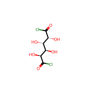 O=C(Cl)[C@@H](O)[C@H](O)[C@H](O)[C@@H](O)C(=O)Cl